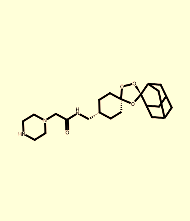 O=C(CN1CCNCC1)NC[C@H]1CC[C@]2(CC1)OO[C@]1(O2)C2CC3CC(C2)CC1C3